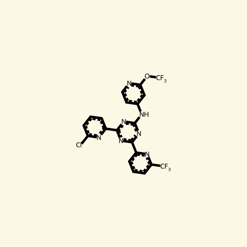 FC(F)(F)Oc1cc(Nc2nc(-c3cccc(Cl)n3)nc(-c3cccc(C(F)(F)F)n3)n2)ccn1